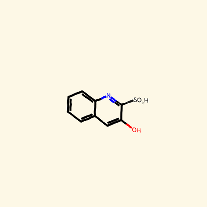 O=S(=O)(O)c1nc2ccccc2cc1O